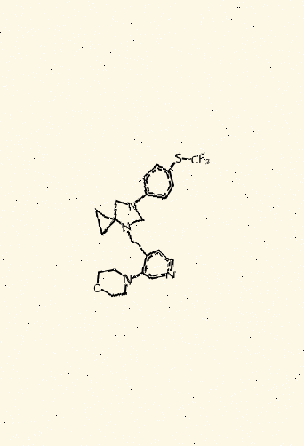 FC(F)(F)Sc1ccc(N2CN(Cc3ccncc3N3CCOCC3)C3(CC3)C2)cc1